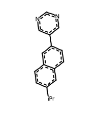 CC(C)c1ccc2cc(-c3cncnc3)ccc2c1